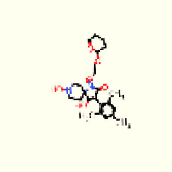 Cc1cc(C)c(C2=C(O)C3(CCN(O)CC3)N(OCCOC3CCCCO3)C2=O)c(C)c1